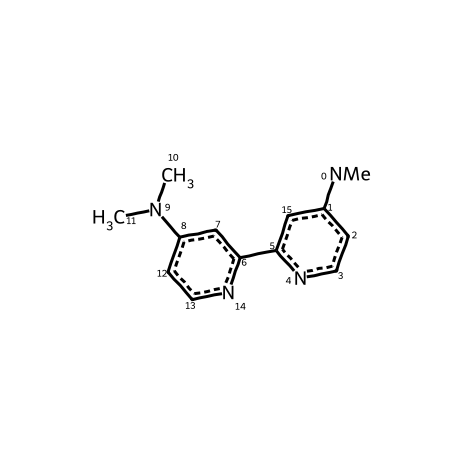 CNc1ccnc(-c2cc(N(C)C)ccn2)c1